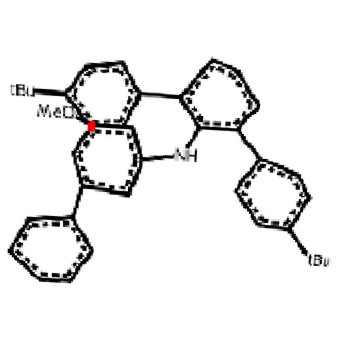 COc1cc(Nc2c(-c3ccc(C(C)(C)C)cc3)cccc2-c2ccc(C(C)(C)C)cc2)cc(-c2ccccc2)c1